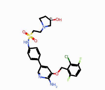 Nc1ncc(-c2ccc(NS(=O)(=O)CCN3CC[C@@H](O)C3)cc2)cc1OCc1c(F)ccc(F)c1Cl